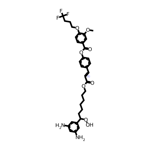 COc1cc(C(=O)Oc2ccc(/C=C/C(=O)OCCCCCCC(OO)c3cc(N)cc(N)c3)cc2)ccc1OCCCC(F)(F)F